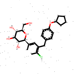 C/C(=C\C(Cc1ccc(OC2CCCC2)cc1)=C(/C)Cl)[C@@H]1O[C@H](CO)[C@@H](O)C(O)[C@H]1O